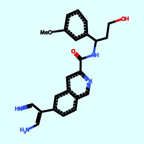 COc1cccc(C(CCO)NC(=O)c2cc3cc(/C(C=N)=C/N)ccc3cn2)c1